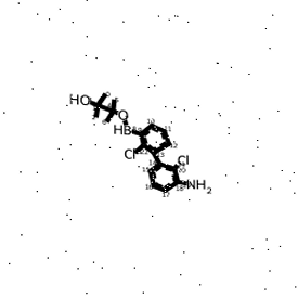 CC(C)(O)C(C)(C)OBc1cccc(-c2cccc(N)c2Cl)c1Cl